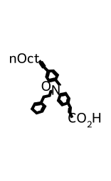 CCCCCCCCC#Cc1ccc(CN(C(=O)CCC2=CCCC=C2)c2ccc(/C=C/C(=O)O)cc2)cc1